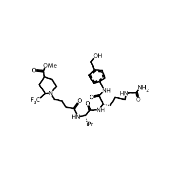 COC(=O)C1CCN(CCCC(=O)N[C@H](C(=O)N[C@@H](CCCNC(N)=O)C(=O)Nc2ccc(CO)cc2)C(C)C)C(C(F)(F)F)C1